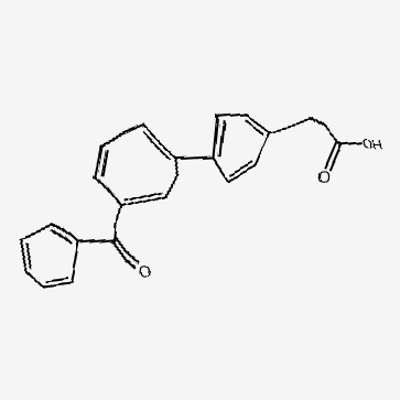 O=C(O)Cc1ccc(-c2cccc(C(=O)c3ccccc3)c2)cc1